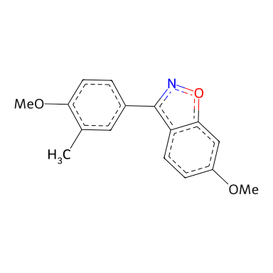 COc1ccc2c(-c3ccc(OC)c(C)c3)noc2c1